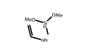 C=CCCC.CO[SiH](C)OC